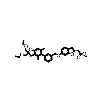 CCOCC1(COCC)Cc2c(cc(C)c(-c3cccc(COc4ccc5c(c4)O[C@H](CC(=O)OC)C5)c3)c2C)O1